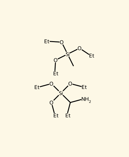 CCO[Si](C)(OCC)OCC.CCO[Si](OCC)(OCC)C(N)CC